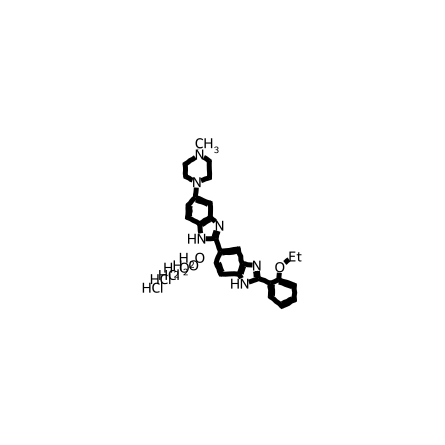 CCOc1ccccc1-c1nc2cc(-c3nc4cc(N5CCN(C)CC5)ccc4[nH]3)ccc2[nH]1.Cl.Cl.Cl.O.O.O